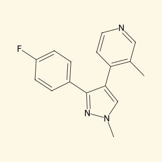 Cc1cnccc1-c1cn(C)nc1-c1ccc(F)cc1